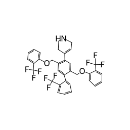 FC(F)(F)c1ccccc1OCc1cc(-c2ccccc2C(F)(F)F)c(COc2ccccc2C(F)(F)F)cc1C1=CCNCC1